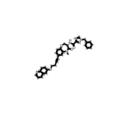 CN1C(=O)[C@@H](NC(=O)c2ncn(Cc3ccccc3)n2)COc2ccc(C#CCCOc3ccc4ncccc4c3)cc21